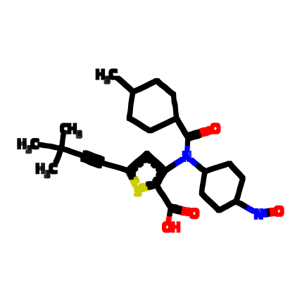 CC1CCC(C(=O)N(c2cc(C#CC(C)(C)C)sc2C(=O)O)C2CCC(N=O)CC2)CC1